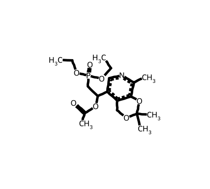 CCOP(=O)(CC(OC(C)=O)c1cnc(C)c2c1COC(C)(C)O2)OCC